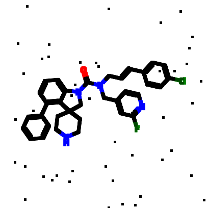 O=C(N(CC=Cc1ccc(Cl)cc1)Cc1ccnc(F)c1)N1CC2(CCNCC2)c2c(-c3ccccc3)cccc21